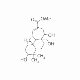 COC(=O)C1=CCC2C3(C)CCC(O)C(C)(C)C3CCC2(CO)C(O)C1